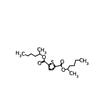 CCCCC(C)OC(=O)c1ccc(C(=O)OC(C)CCCC)s1